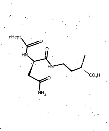 CCCCCCCC(=O)N[C@H](CC(N)=O)C(=O)NCC[C@H](C)C(=O)O